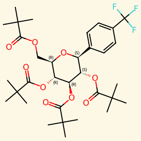 CC(C)(C)C(=O)OC[C@H]1O[C@@H](c2ccc(C(F)(F)F)cc2)[C@H](OC(=O)C(C)(C)C)[C@@H](OC(=O)C(C)(C)C)[C@@H]1OC(=O)C(C)(C)C